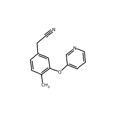 Cc1ccc([CH]C#N)cc1Oc1cccnc1